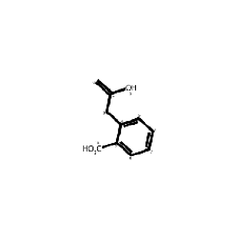 C=C(O)Cc1ccccc1C(=O)O